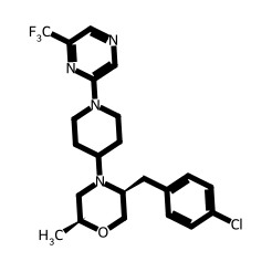 C[C@H]1CN(C2CCN(c3cncc(C(F)(F)F)n3)CC2)[C@@H](Cc2ccc(Cl)cc2)CO1